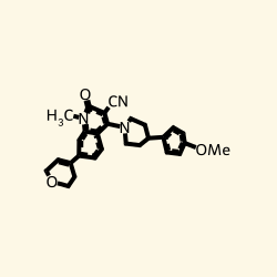 COc1ccc(C2CCN(c3c(C#N)c(=O)n(C)c4cc(C5=CCOCC5)ccc34)CC2)cc1